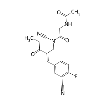 CCC(=O)/C(=C/c1ccc(F)c(C#N)c1)CN(C#N)C(=O)CNC(C)=O